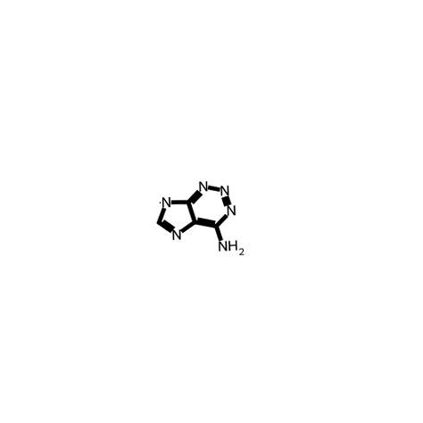 Nc1nnnc2c1N=C[N]2